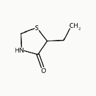 CCC1SCNC1=O